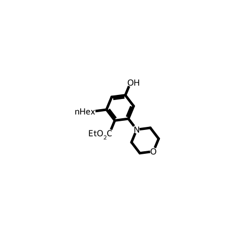 CCCCCCc1cc(O)cc(N2CCOCC2)c1C(=O)OCC